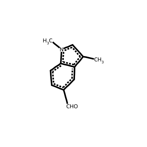 Cc1cn(C)c2ccc(C=O)cc12